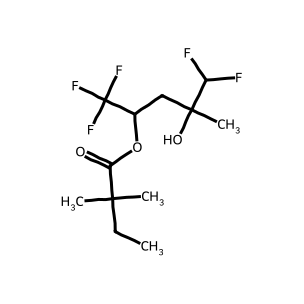 CCC(C)(C)C(=O)OC(CC(C)(O)C(F)F)C(F)(F)F